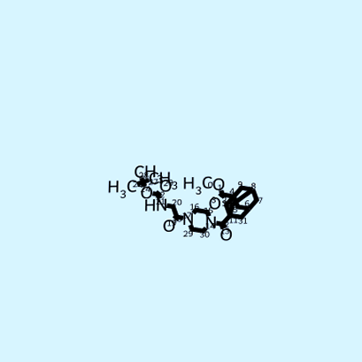 COC(=O)C12CC3CC(C1)CC(C(=O)N1CCN(C(=O)CNC(=O)OC(C)(C)C)CC1)(C3)C2